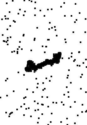 Cn1nc(N2CCC(=O)NC2=O)c2ccc(C3CCN(CC(=O)N4CC5(C4)CN(c4ccc(-c6cc(F)c7c(c6)C(=O)N(C(C(=O)Nc6nccs6)c6ncn8c6CCC8)C7)cn4)C5)CC3(F)F)cc21